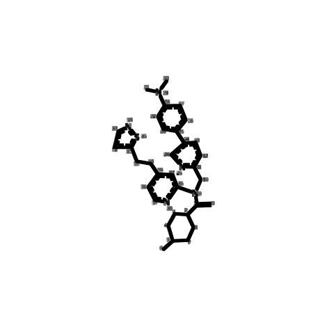 C=C(C1CCC(C)CC1)N(Cc1ccc(-c2ccc(N(C)C)cc2)cn1)c1cc(CCc2ccns2)ccn1